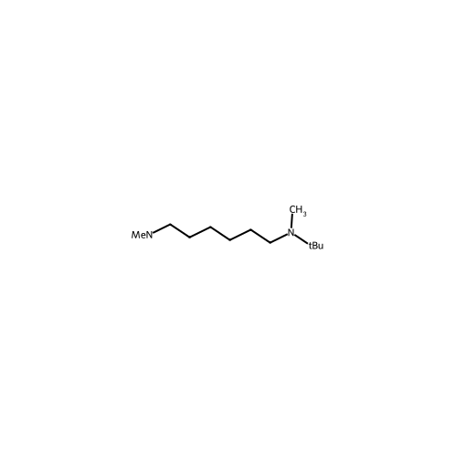 CNCCCCCCN(C)C(C)(C)C